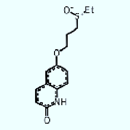 CC[S+]([O-])CCCOc1ccc2[nH]c(=O)ccc2c1